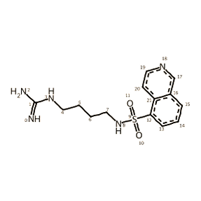 N=C(N)NCCCCNS(=O)(=O)c1cccc2cnccc12